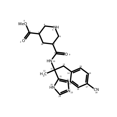 COC(=O)C1CNCC(C(=O)NC(C)(Cc2ccc(C#N)cc2)c2cnc[nH]2)C1